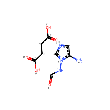 Nc1cncn1NC=O.O=C(O)CCC(=O)O